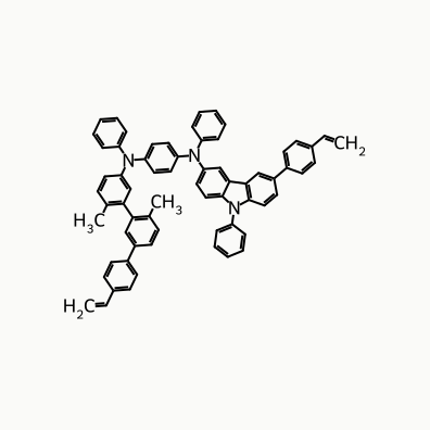 C=Cc1ccc(-c2ccc(C)c(-c3cc(N(c4ccccc4)c4ccc(N(c5ccccc5)c5ccc6c(c5)c5cc(-c7ccc(C=C)cc7)ccc5n6-c5ccccc5)cc4)ccc3C)c2)cc1